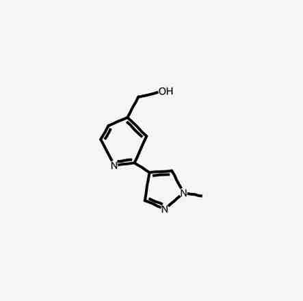 Cn1cc(-c2cc(CO)ccn2)cn1